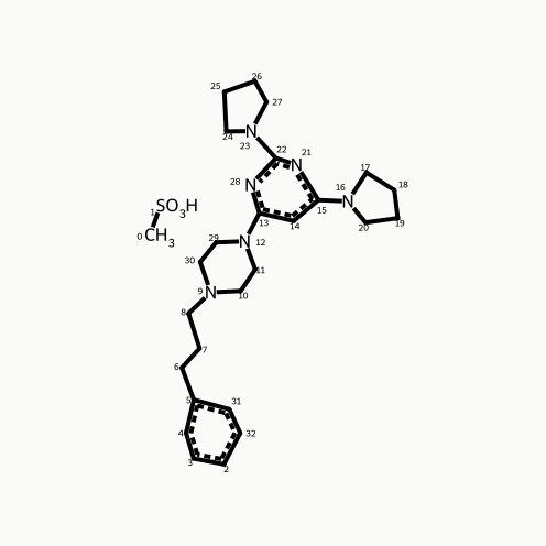 CS(=O)(=O)O.c1ccc(CCCN2CCN(c3cc(N4CCCC4)nc(N4CCCC4)n3)CC2)cc1